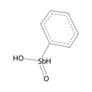 [O]=[SbH]([OH])[c]1ccccc1